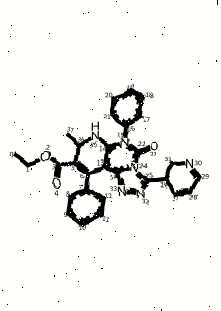 CCOC(=O)C1=C(c2ccccc2)c2c(n(-c3ccccc3)c(=O)n3c(C4C=CC=NC4)nnc23)NC1C